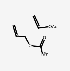 C=CCOC(=O)CCC.C=COC(C)=O